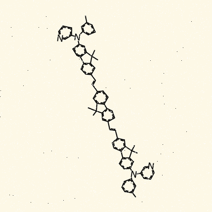 Cc1cccc(N(c2cccnc2)c2ccc3c(c2)C(C)(C)c2cc(/C=C/c4ccc5c(c4)C(C)(C)c4cc(/C=C/c6ccc7c(c6)C(C)(C)c6cc(N(c8cccnc8)c8cccc(C)c8)ccc6-7)ccc4-5)ccc2-3)c1